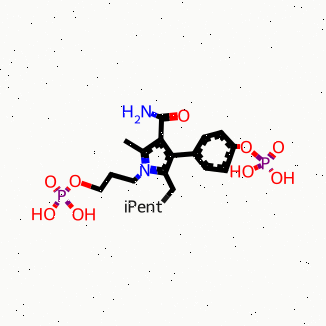 CCCC(C)Cc1c(-c2ccc(OP(=O)(O)O)cc2)c(C(N)=O)c(C)n1CCCOP(=O)(O)O